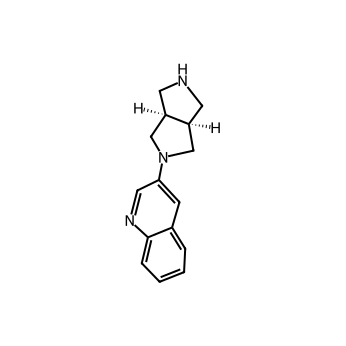 c1ccc2ncc(N3C[C@H]4CNC[C@H]4C3)cc2c1